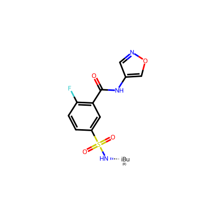 CC[C@@H](C)NS(=O)(=O)c1ccc(F)c(C(=O)Nc2cnoc2)c1